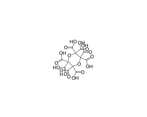 O=C(O)C1(C(=O)O)OC(C(=O)O)(C(=O)O)C(C(=O)O)(C(=O)O)OC1(C(=O)O)C(=O)O